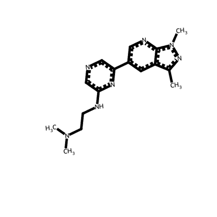 Cc1nn(C)c2ncc(-c3cncc(NCCN(C)C)n3)cc12